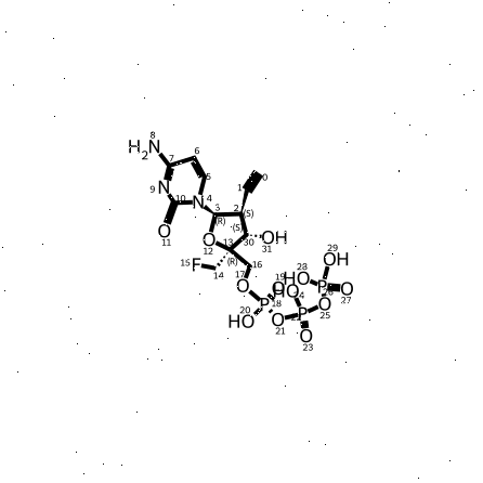 C#C[C@@H]1[C@H](n2ccc(N)nc2=O)O[C@](CF)(COP(=O)(O)OP(=O)(O)OP(=O)(O)O)[C@H]1O